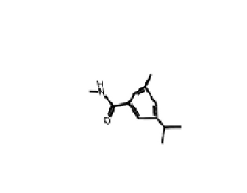 CNC(=O)c1cc(C)cc(C(C)C)c1